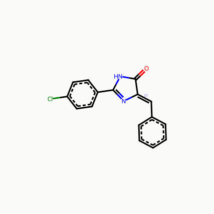 O=C1NC(c2ccc(Cl)cc2)=N/C1=C\c1ccccc1